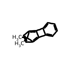 CC1(C)C2=C3C(=C1C=C2)c1ccccc13